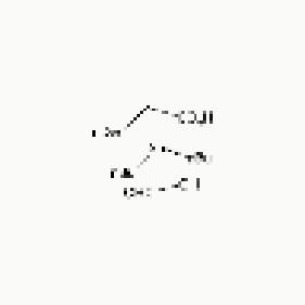 CCCCCCCCCCCC(=O)O.CCC[CH2][Sn][CH2]CCC.O=CO